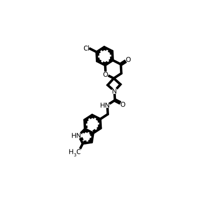 Cc1cc2cc(CNC(=O)N3CC4(CC(=O)c5ccc(Cl)cc5O4)C3)ccc2[nH]1